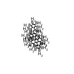 Bc1c(B)c(B)c(-c2c3c(B)c(B)c(B)c(B)c3c(-c3c(B)c(B)c(-c4c(B)c(B)c5c(B)c(B)c(B)c(B)c5c4B)c4c(B)c(B)c(B)c(B)c34)c3c(B)c(B)c(B)c(B)c23)c(B)c1B